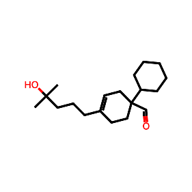 CC(C)(O)CCCC1=CCC(C=O)(C2CCCCC2)CC1